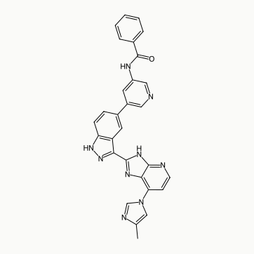 Cc1cn(-c2ccnc3[nH]c(-c4n[nH]c5ccc(-c6cncc(NC(=O)c7ccccc7)c6)cc45)nc23)cn1